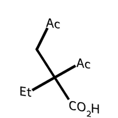 CCC(CC(C)=O)(C(C)=O)C(=O)O